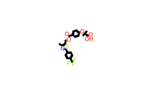 Cc1nc(-c2ccc(C(F)(F)F)cc2)sc1COC(=O)c1ccc(OC(C)(C)C(=O)O)cc1